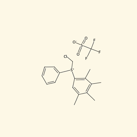 Cc1cc([S+](CCl)c2ccccc2)c(C)c(C)c1C.O=S(=O)([O-])C(F)(F)F